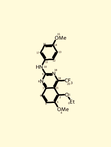 CCOc1c(OC)ccc2nc(Nc3ccc(OC)cc3)nc(C(F)(F)F)c12